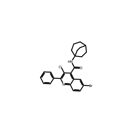 O=C(NC12CCCC(CC1)CC2)c1c(Cl)c(-c2ccccc2)nc2ccc(Br)cc12